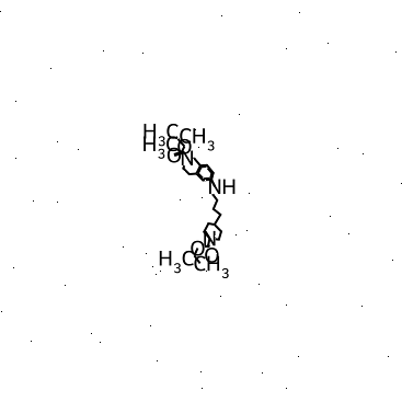 CC(C)OC(=O)N1CCC(CCCCNc2ccc3c(c2)CCN(C(=O)OC(C)(C)C)C3)CC1